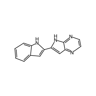 c1ccc2[nH]c(-c3cc4nccnc4[nH]3)cc2c1